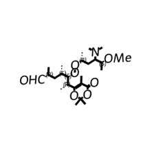 CO[C@@H](C)C(C[C@@H](C)OO[C@@H]([C@@H](C)C[C@@H](C)C=O)[C@@H](C)C1=C(C)C(=O)OC(C)(C)O1)N(C)C